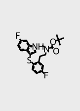 CN(CCc1cc(F)ccc1Sc1c[nH]c2cc(F)ccc12)C(=O)OC(C)(C)C